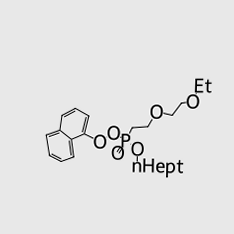 CCCCCCCOP(=O)(CCOCCOCC)OOc1cccc2ccccc12